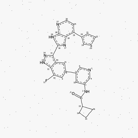 O=C(Nc1cncc(-c2cc(F)c3[nH]nc(-c4nc5c(-c6ccsc6)ccnc5[nH]4)c3c2)c1)C1CCC1